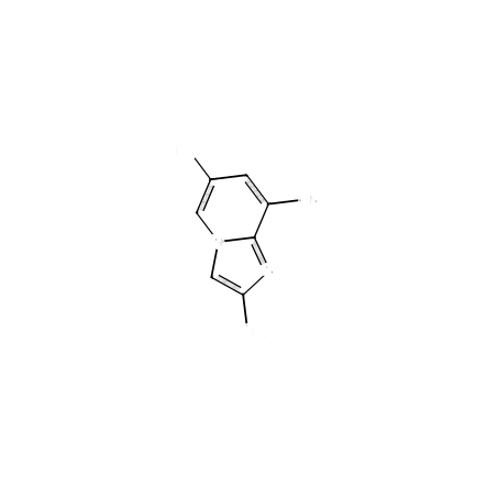 Cc1cc(C#N)c2nc(C)cn2c1